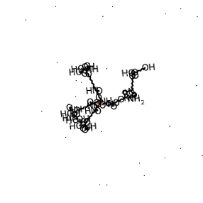 CC(=O)NC1C(OCCCCCCCCNC(=O)CCOCC(COCCC(=O)NCCCCCCOC2OC(CO)C(O)C(O)C2NC(C)=O)(COCCC(=O)NCCCCCCOC2OC(CO)C(O)C(O)C2NC(C)=O)NC(=O)C2CCN(C(=O)COCCOCCN/C3=C(\N)c4ccccc4N(CCCCCCCOP(=O)(O)OCCCCCO)Cc4ccccc43)CC2)OC(CO)C(O)C1O